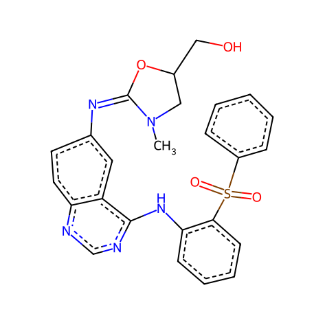 CN1CC(CO)OC1=Nc1ccc2ncnc(Nc3ccccc3S(=O)(=O)c3ccccc3)c2c1